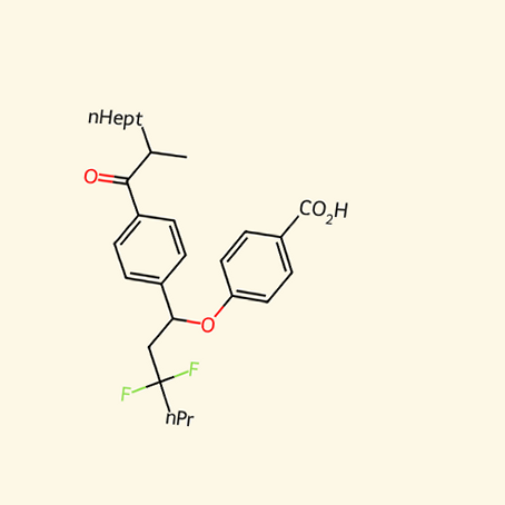 CCCCCCCC(C)C(=O)c1ccc(C(CC(F)(F)CCC)Oc2ccc(C(=O)O)cc2)cc1